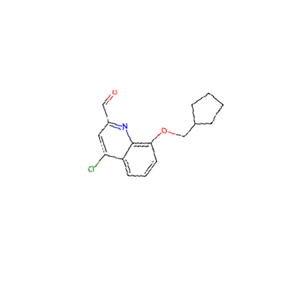 O=Cc1cc(Cl)c2cccc(OCC3CCCC3)c2n1